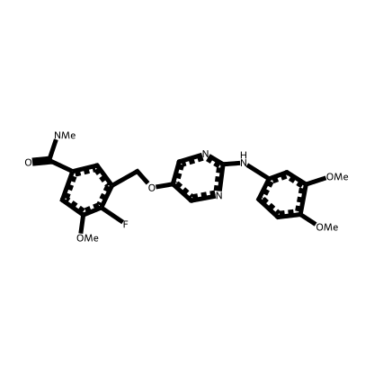 CNC(=O)c1cc(COc2cnc(Nc3ccc(OC)c(OC)c3)nc2)c(F)c(OC)c1